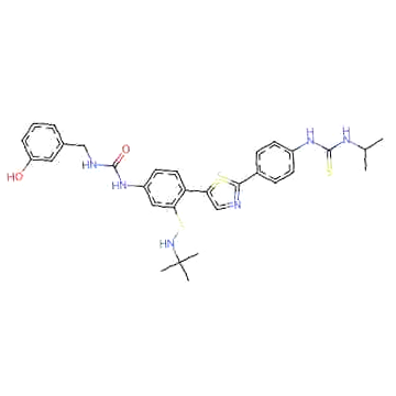 CC(C)NC(=S)Nc1ccc(-c2ncc(-c3ccc(NC(=O)NCc4cccc(O)c4)cc3SNC(C)(C)C)s2)cc1